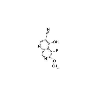 COc1ncc2ncc(C#N)c(O)c2c1F